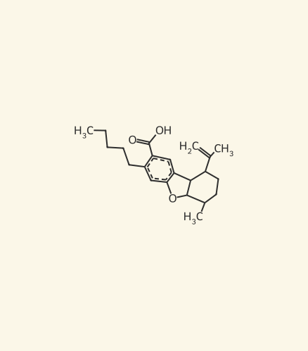 C=C(C)C1CCC(C)C2Oc3cc(CCCCC)c(C(=O)O)cc3C12